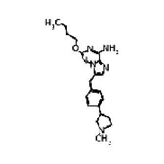 CCCCOc1nc(N)c2ncc(Cc3ccc(C4CCN(C)C4)cc3)n2n1